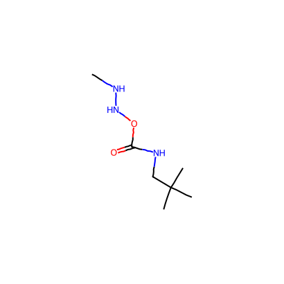 CNNOC(=O)NCC(C)(C)C